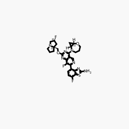 Nc1nc2c(-c3ncc4c(N5CCCO[C@H]6C[C@H]65)nc(OC[C@@]56CCCN5C[C@H](F)C6)nc4c3F)ccc(F)c2s1